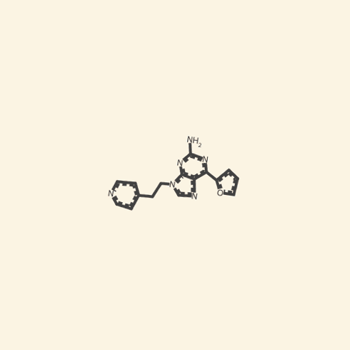 Nc1nc(-c2ccco2)c2ncn(CCc3ccncc3)c2n1